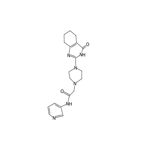 O=C(CN1CCN(c2nc3c(c(=O)[nH]2)CCCC3)CC1)Nc1cccnc1